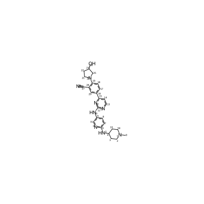 CN1CCC(Nc2ccc(Nc3nccc(-c4ccc(N5CCC(O)C5)c(C#N)c4)n3)cn2)CC1